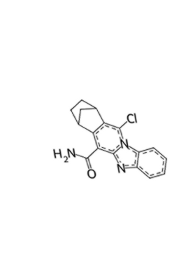 NC(=O)c1c2c(c(Cl)n3c1nc1ccccc13)C1CCC2C1